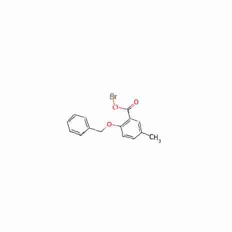 Cc1ccc(OCc2ccccc2)c(C(=O)OBr)c1